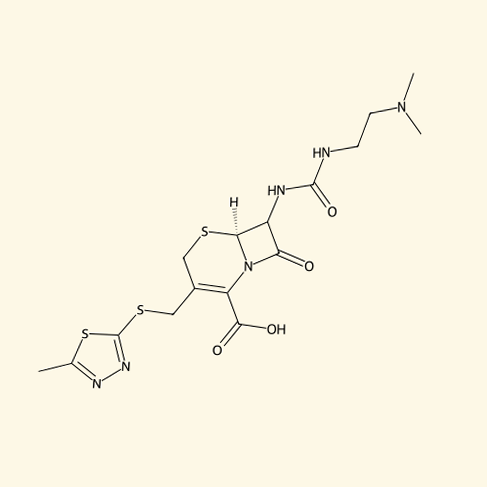 Cc1nnc(SCC2=C(C(=O)O)N3C(=O)C(NC(=O)NCCN(C)C)[C@@H]3SC2)s1